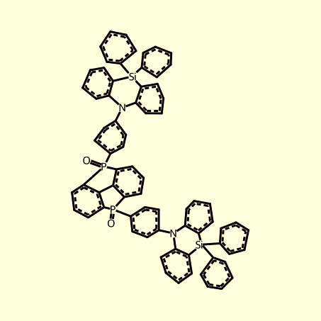 O=P1(c2ccc(N3c4ccccc4[Si](c4ccccc4)(c4ccccc4)c4ccccc43)cc2)c2cccc3c2-c2c1cccc2P3(=O)c1ccc(N2c3ccccc3[Si](c3ccccc3)(c3ccccc3)c3ccccc32)cc1